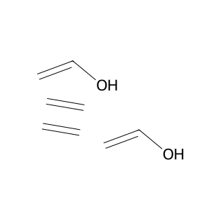 C=C.C=C.C=CO.C=CO